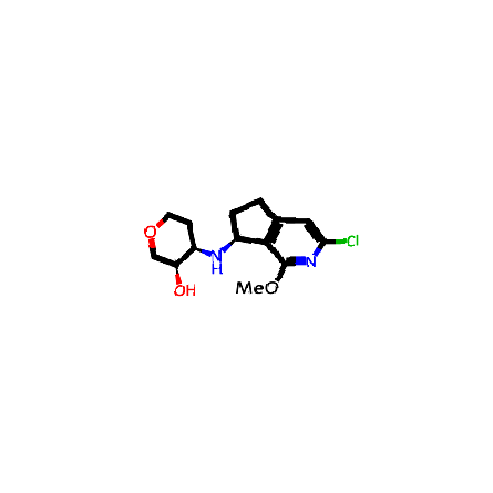 COc1nc(Cl)cc2c1[C@@H](N[C@@H]1CCOC[C@@H]1O)CC2